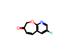 O=C1C=Cc2cc(F)cnc2OC1